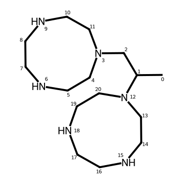 CC(CN1CCNCCNCC1)N1CCNCCNCC1